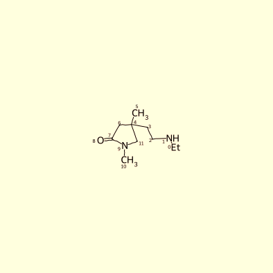 CCNCCC1(C)CC(=O)N(C)C1